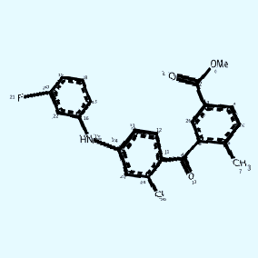 COC(=O)c1ccc(C)c(C(=O)c2ccc(Nc3cccc(F)c3)cc2Cl)c1